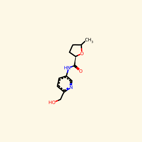 CC1CC[C@H](C(=O)Nc2ccc(CO)nc2)O1